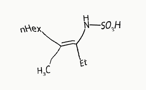 CCCCCCC(C)=C(CC)NS(=O)(=O)O